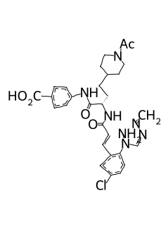 C=N/N=C\N(N)c1ccc(Cl)cc1/C=C/C(=O)N[C@@H](CCC1CCN(C(C)=O)CC1)C(=O)Nc1ccc(C(=O)O)cc1